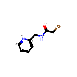 O=C(CS)NCc1ccccn1